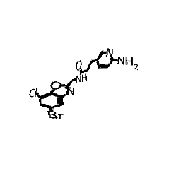 Nc1ccc(/C=C/C(=O)NCc2nc3cc(Br)cc(Cl)c3o2)cn1